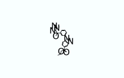 CCOC(=O)c1ccc2c(c1)ncn2-c1cccc(C(OC)c2ncnn2C)c1